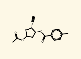 C#C[C@H]1OC(OC(C)=O)C[C@@H]1OC(=O)c1ccc(C)cc1